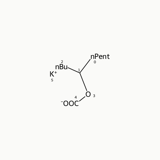 CCCCCC(CCCC)OC(=O)[O-].[K+]